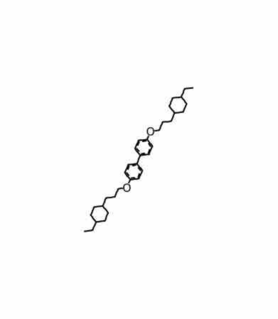 CCC1CCC(CCCOc2ccc(-c3ccc(OCCCC4CCC(CC)CC4)cc3)cc2)CC1